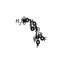 NS(=O)(=O)c1ccc(CN(CCSc2ccccc2)Cc2ccc(SNC(=O)CCCN3C(=O)C(c4ccc(F)cc4F)=C(c4ccc(F)cc4F)C3=O)cc2)cc1